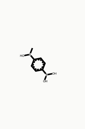 CB(O)c1ccc(B(O)O)cc1